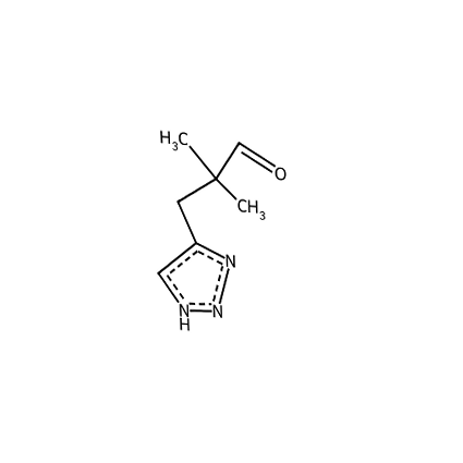 CC(C)(C=O)Cc1c[nH]nn1